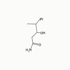 CC(C)C(C)C(O)CC(N)=O